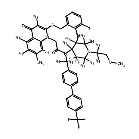 [2H]c1c(C)c([2H])c2c(c1[2H])c(=O)c([2H])c(SCc1cccc(F)c1F)n2CC(=O)N(C([2H])([2H])c1ccc(-c2ccc(C(F)(F)F)cc2)cc1)C1([2H])C([2H])([2H])C([2H])([2H])N(C([2H])([2H])COC)C([2H])([2H])C1([2H])[2H]